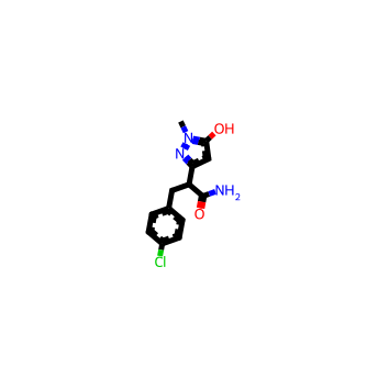 Cn1nc(C(Cc2ccc(Cl)cc2)C(N)=O)cc1O